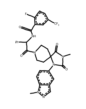 CC(C)C(NC(=O)c1cc(C(F)(F)F)ccc1F)C(=O)N1CCC2(CC1)C(=O)N(C)C(=O)N2c1ccc2c(cnn2C)c1